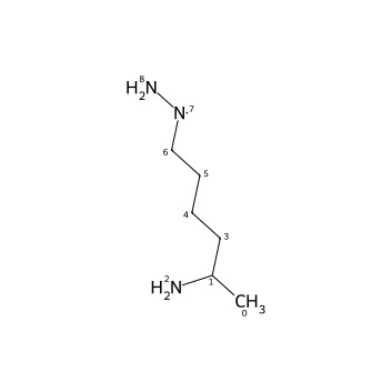 CC(N)CCCC[N]N